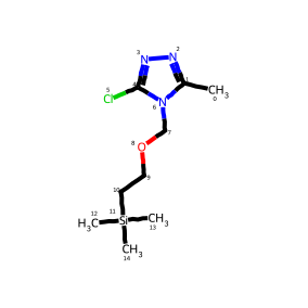 Cc1nnc(Cl)n1COCC[Si](C)(C)C